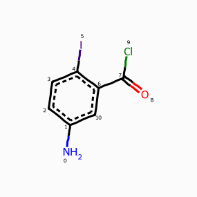 Nc1ccc(I)c(C(=O)Cl)c1